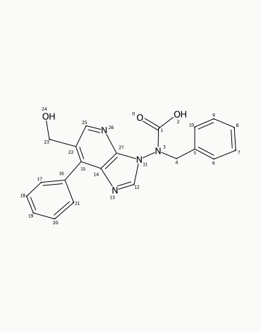 O=C(O)N(Cc1ccccc1)n1cnc2c(-c3ccccc3)c(CO)cnc21